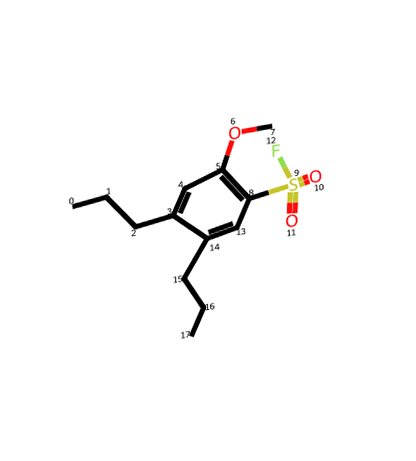 CCCc1cc(OC)c(S(=O)(=O)F)cc1CCC